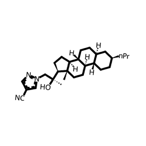 CCC[C@H]1CC[C@H]2[C@@H](CC[C@@H]3[C@@H]2CC[C@@]2(C)[C@H]3CC[C@@H]2[C@@](C)(O)Cn2cc(C#N)cn2)C1